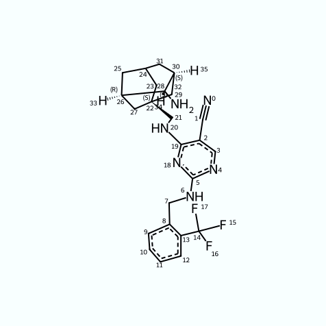 N#Cc1cnc(NCc2ccccc2C(F)(F)F)nc1NC[C@]12CC3C[C@H](C1)[C@@H](N)[C@@H](C3)C2